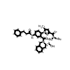 CCCCN(CCCC)C(=O)c1cc(C)n(-c2ccc(NC(=O)CCc3ccccc3)cc2C(=O)N2Cc3ccccc3C[C@H]2CO)n1